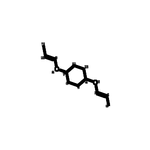 C/C=C/OC1CCC(O/C=C/C)CC1